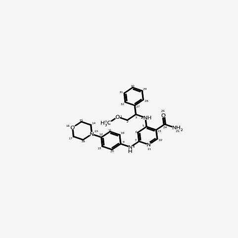 COCC(Nc1cc(Nc2ccc(N3CCOCC3)cc2)ncc1C(N)=O)c1ccccc1